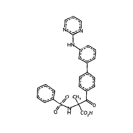 CC(NS(=O)(=O)c1ccccc1)(C(=O)O)C(=O)c1ccc(-c2cccc(Nc3ncccn3)c2)cc1